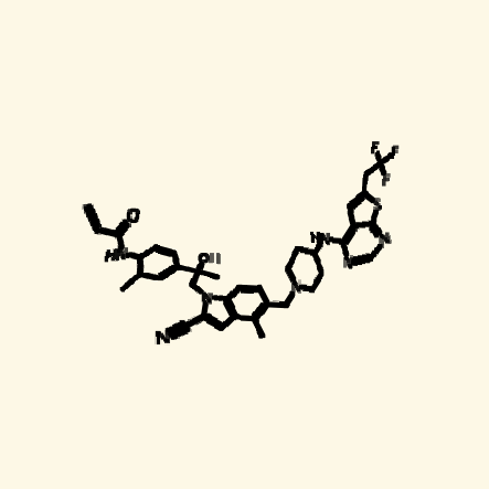 C=CC(=O)NC1C=CC(C(C)(O)Cn2c(C#N)cc3c(C)c(CN4CCC(Nc5ncnc6sc(CC(F)(F)F)cc56)CC4)ccc32)=CC1C